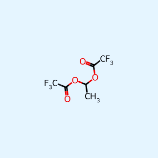 CC(OC(=O)C(F)(F)F)OC(=O)C(F)(F)F